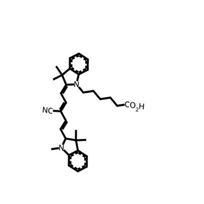 CN1c2ccccc2C(C)(C)C1/C=C/C(C#N)=C/C=C1\N(CCCCCC(=O)O)c2ccccc2C1(C)C